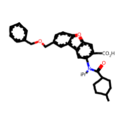 CC1CCC(C(=O)N(c2cc3c(cc2C(=O)O)oc2ccc(COCc4ccccc4)cc23)C(C)C)CC1